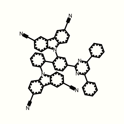 N#Cc1ccc2c(c1)c1cc(C#N)ccc1n2-c1ccccc1-c1ccc(-c2nc(-c3ccccc3)cc(-c3ccccc3)n2)cc1-n1c2ccc(C#N)cc2c2cc(C#N)ccc21